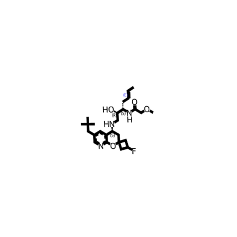 C/C=C/C[C@H](NC(=O)COC)[C@H](O)CN[C@H]1CC2(CC(F)C2)Oc2ncc(CC(C)(C)C)cc21